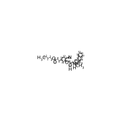 CCCCCOC(=O)CCc1ccc(C#N)c(OCC(O)CNC(C)(C)CC2Cc3ccccc3C2)c1